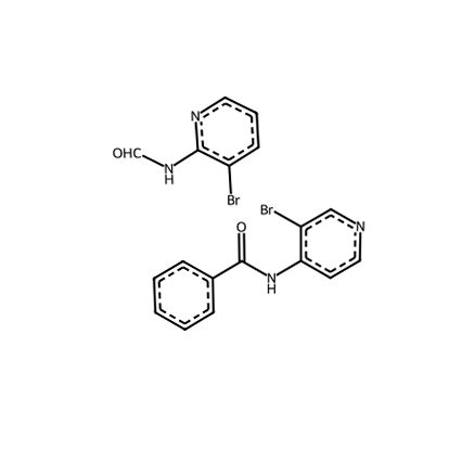 O=C(Nc1ccncc1Br)c1ccccc1.O=CNc1ncccc1Br